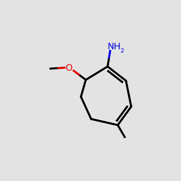 COC1CCC(C)=CC=C1N